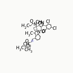 C=CC(=O)N(C)C1(c2onc(-c3c(Cl)cc(Cl)cc3Cl)c2C(=O)n2cc(C)c3c(/C=C/C(=O)OC(C)(C)C)cccc32)CCC1